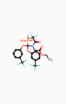 CCOC(=O)CN(C(=O)C(F)(F)F)C(Oc1cccc(C(F)(F)F)c1)(Oc1cccc(C(F)(F)F)c1)P(=O)(O)O